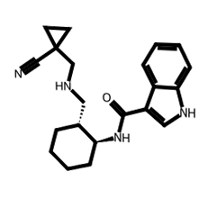 N#CC1(CNC[C@H]2CCCC[C@@H]2NC(=O)c2c[nH]c3ccccc23)CC1